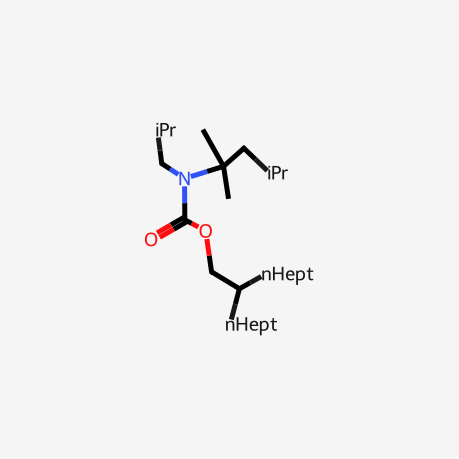 CCCCCCCC(CCCCCCC)COC(=O)N(CC(C)C)C(C)(C)CC(C)C